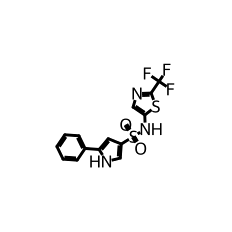 O=S(=O)(Nc1cnc(C(F)(F)F)s1)c1c[nH]c(-c2ccccc2)c1